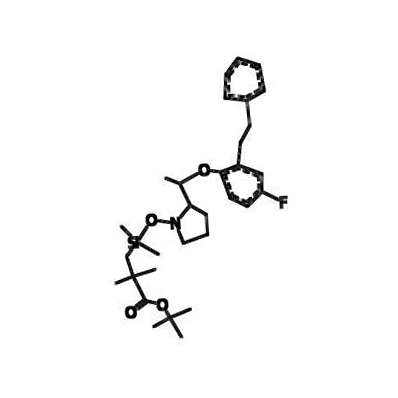 CC(Oc1ccc(F)cc1CCc1ccccc1)C1CCCN1O[Si](C)(C)CC(C)(C)C(=O)OC(C)(C)C